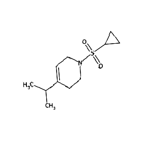 CC(C)C1=CCN(S(=O)(=O)C2CC2)CC1